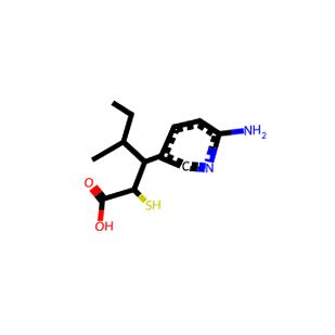 CCC(C)C(c1ccc(N)nc1)C(S)C(=O)O